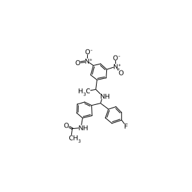 CC(=O)Nc1cccc(C(NC(C)c2cc([N+](=O)[O-])cc([N+](=O)[O-])c2)c2ccc(F)cc2)c1